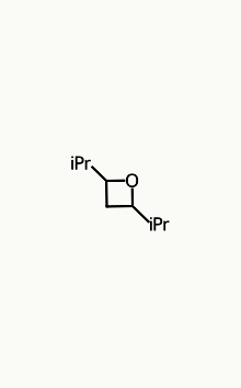 CC(C)C1CC(C(C)C)O1